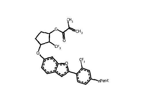 C=C(C)C(=O)OC1CCC(Oc2ccc3cc(-c4ccc(CCCCC)cc4C(F)(F)F)oc3c2)C1C(F)(F)F